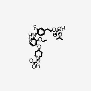 CCOc1c(OC2CCN(OC(=O)O)CC2)ccnc1Nc1ccc(CCOP(=O)(O)OC(C)C)cc1F